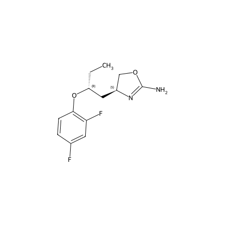 CC[C@H](C[C@H]1COC(N)=N1)Oc1ccc(F)cc1F